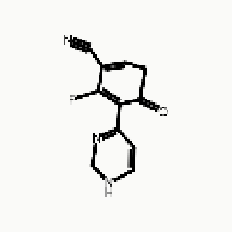 N#CC1=CCC(=O)C(C2=NCNC=C2)=C1F